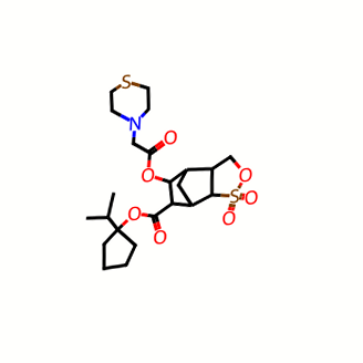 CC(C)C1(OC(=O)C2C3CC(C4COS(=O)(=O)C43)C2OC(=O)CN2CCSCC2)CCCC1